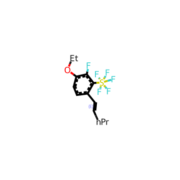 CCC/C=C/c1ccc(OCC)c(F)c1S(F)(F)(F)(F)F